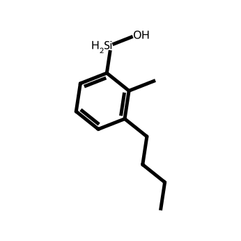 CCCCc1cccc([SiH2]O)c1C